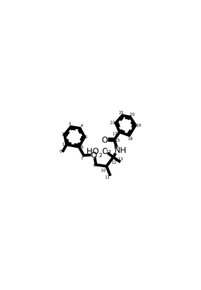 Cc1ccccc1COCC(C)C(C)(NC(=O)c1ccccc1)C(=O)O